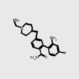 CC(C)(C)CN1CCC(Cc2ccc(C(N)=O)c(-c3ccc(F)cc3N)c2)CC1